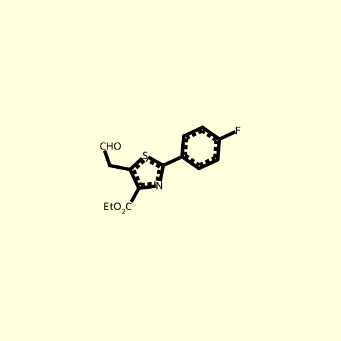 CCOC(=O)c1nc(-c2ccc(F)cc2)sc1CC=O